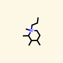 CCC[N+]1(C)CCC(C)C(C)C1C